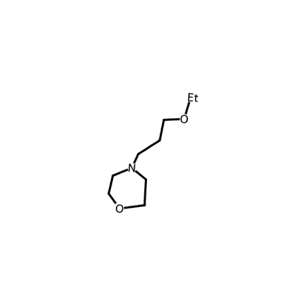 CCOCCCN1CCOCC1